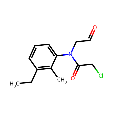 CCc1cccc(N(CC=O)C(=O)CCl)c1C